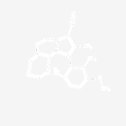 COc1ccc(C)c(-n2c(N)c(C#N)c3ccc4nccnc4c32)c1C